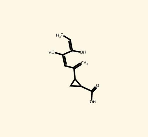 C=C(/C=C(O)\C(O)=C/C)C1CC1C(=O)O